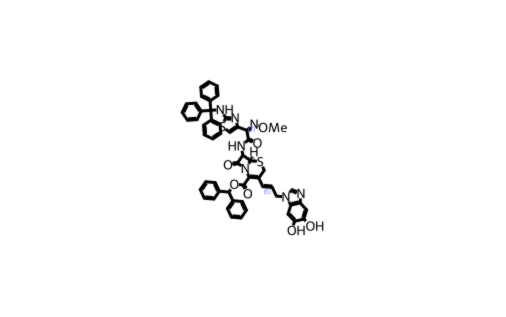 CO/N=C(\C(=O)NC1C(=O)N2C(C(=O)OC(c3ccccc3)c3ccccc3)=C(/C=C/Cn3cnc4cc(O)c(O)cc43)CS[C@@H]12)c1csc(NC(c2ccccc2)(c2ccccc2)c2ccccc2)n1